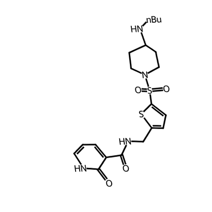 CCCCNC1CCN(S(=O)(=O)c2ccc(CNC(=O)c3ccc[nH]c3=O)s2)CC1